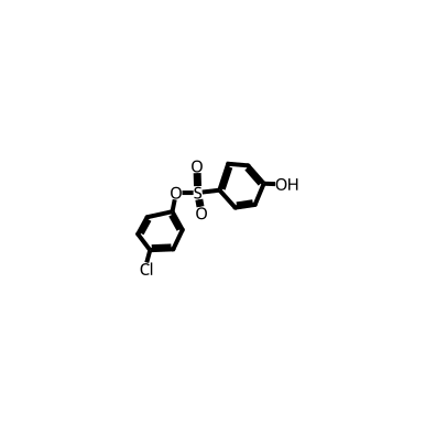 O=S(=O)(Oc1ccc(Cl)cc1)c1ccc(O)cc1